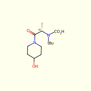 C[C@@H](C(=O)N1CCC(O)CC1)N(C(=O)O)C(C)(C)C